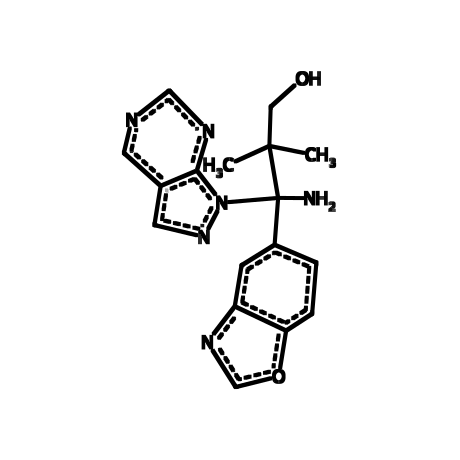 CC(C)(CO)C(N)(c1ccc2ocnc2c1)n1ncc2cncnc21